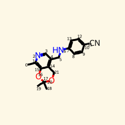 Cc1ncc(CNc2ccc(C#N)cc2)c2c1OC(C)(C)OC2